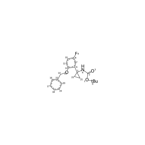 CC(C)(C)OC(=O)NC1(c2cc(F)ccc2OCc2ccccc2)CC1